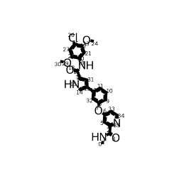 CNC(=O)c1cc(Oc2cccc(-c3c[nH]c(C(=O)Nc4cc(OC)c(Cl)cc4OC)c3)c2)ccn1